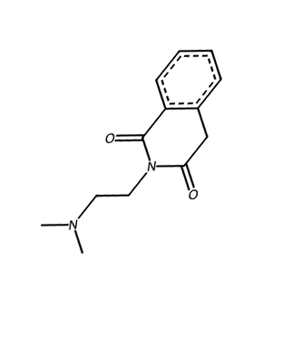 CN(C)CCN1C(=O)Cc2ccccc2C1=O